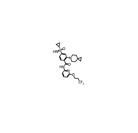 N=[S@](=O)(c1ccc(C(=O)Nc2cccc(OCCC(F)(F)F)n2)c(N2CCC3(CC2)CC3)c1)C1CC1